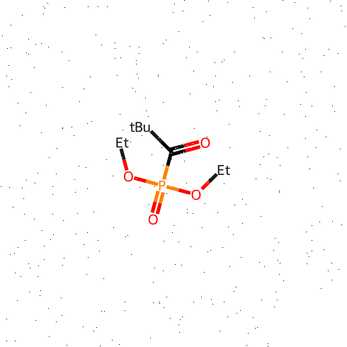 CCOP(=O)(OCC)C(=O)C(C)(C)C